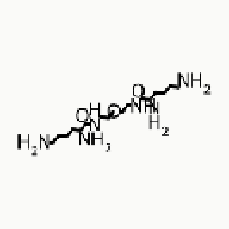 NCCCCC(N)C(=O)NCCOCCNC(=O)C(N)CCCCN